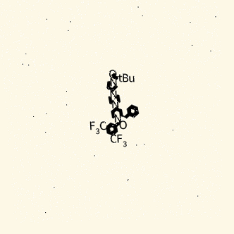 CC(C)(C)C(=O)N1CC[C@H](N2CCN([C@H]3CCN(C(=O)c4cc(C(F)(F)F)cc(C(F)(F)F)c4)[C@H](Cc4ccccc4)C3)CC2)C1